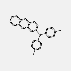 Cc1ccc(N(c2ccc(C)cc2)c2ccc3cc4ccccc4cc3c2)cc1